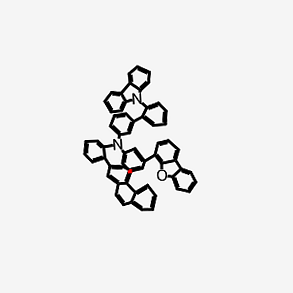 c1cc(-c2ccccc2-n2c3ccccc3c3ccccc32)cc(N(c2cccc(-c3cccc4c3oc3ccccc34)c2)c2ccccc2-c2ccc3c(ccc4ccccc43)c2)c1